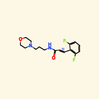 O=C(/C=C/c1c(F)cccc1F)NCCCN1CCOCC1